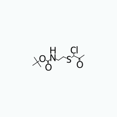 CC(=O)C(Cl)SCCNC(=O)OC(C)(C)C